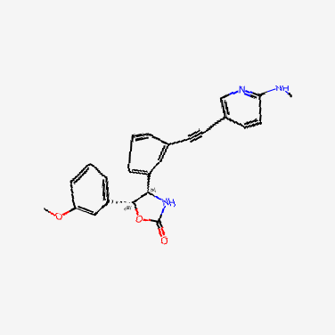 CNc1ccc(C#Cc2cccc([C@H]3NC(=O)O[C@@H]3c3cccc(OC)c3)c2)cn1